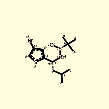 CC(C)C[C@@H](N[S+]([O-])C(C)(C)C)c1cc(Br)cs1